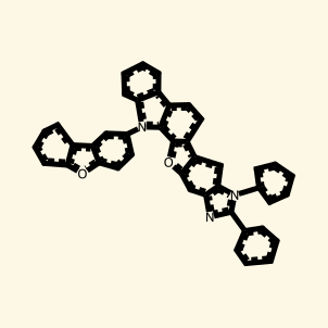 c1ccc(-c2nc3cc4oc5c(ccc6c7ccccc7n(-c7ccc8oc9ccccc9c8c7)c65)c4cc3n2-c2ccccc2)cc1